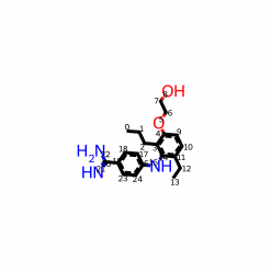 CCCc1c(OCCO)[c]cc(CC)c1Nc1ccc(C(=N)N)cc1